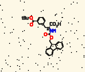 CC(C)(C)OC(=O)c1cccc(C[C@@H](NC(=O)OCC2c3ccccc3-c3ccccc32)C(=O)O)c1